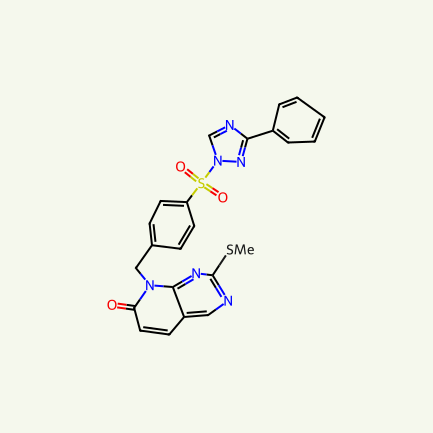 CSc1ncc2ccc(=O)n(Cc3ccc(S(=O)(=O)n4cnc(-c5ccccc5)n4)cc3)c2n1